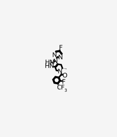 C[C@H]1CC2=C(CN1C(=O)c1cccc(C(F)(F)F)c1F)NNN2c1ncc(F)cn1